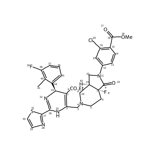 CCOC(=O)C1=C(CN2CC[C@]3(F)C(=O)N(c4ccc(C(=O)OC)c(Cl)c4)C[C@@H]3C2)NC(c2nccs2)=N[C@H]1c1cccc(F)c1C